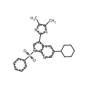 Cc1nc(-c2cn(S(=O)(=O)c3ccccc3)c3ncc(C4CCCCC4)cc23)sc1C